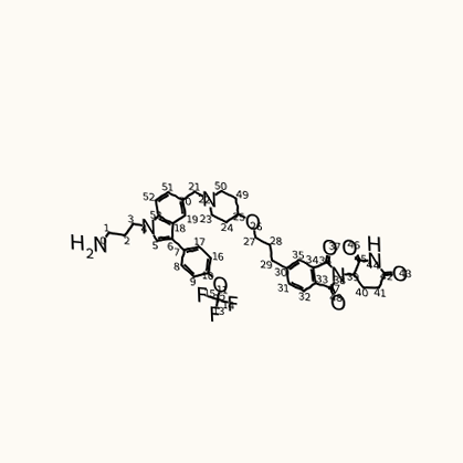 NCCCn1cc(-c2ccc(OC(F)(F)F)cc2)c2cc(CN3CCC(OCCCc4ccc5c(c4)C(=O)N(C4CCC(=O)NC4=O)C5=O)CC3)ccc21